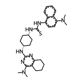 CN(C)c1nc(N[C@H]2CC[C@@H](NC(=S)Nc3ccc(N(C)C)c4ccccc34)CC2)nc2c1CCCC2